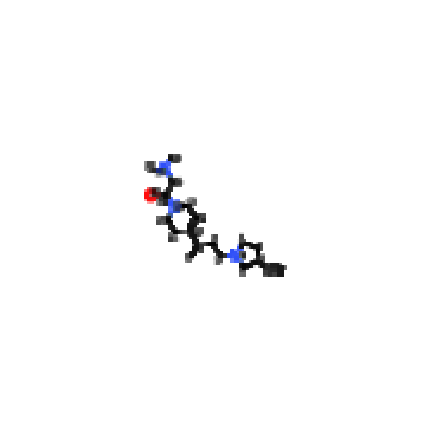 CC(CCN1CCC(C(C)C)C1)C1=CCN(C(=O)CN(C)C)CC1